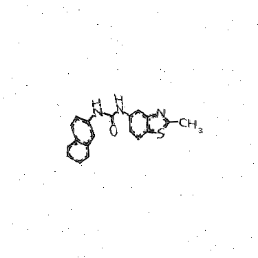 Cc1nc2cc(NC(=O)Nc3ccc4ccccc4c3)ccc2s1